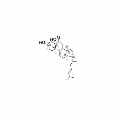 CC(C)CCCC(C)[C@H]1CC[C@H]2C3=CC(=O)[C@@]4(O)C[C@@H](O)CC[C@]4(C)C3=CC[C@]12C